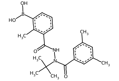 Cc1cc(C)cc(C(=O)N(NC(=O)c2cccc(B(O)O)c2C)C(C)(C)C)c1